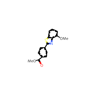 COC(=O)c1ccc(-c2nc3c(OC)cccc3s2)cc1